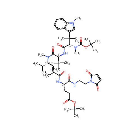 C/C(=C\[C@H](C(C)C)N(C)C(=O)[C@@H](NC(=O)[C@@H](N(C)C(=O)OC(C)(C)C)C(C)(C)c1cn(C)c2ccccc12)C(C)(C)C)C(=O)N[C@@H](CCC(=O)OC(C)(C)C)C(=O)NCCN1C(=O)C=CC1=O